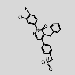 O=c1c(Cc2ccccc2)c(-c2ccc(C[SH](=O)=O)cc2)cnn1-c1ccc(F)c(Cl)c1